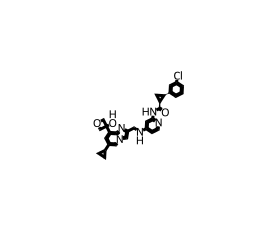 O=C(Nc1cc(NCc2cn3cc(C4CC4)cc(C4(O)COC4)c3n2)ccn1)[C@H]1C[C@@H]1c1cccc(Cl)c1